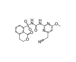 COc1cc(CC#N)nc(NC(=O)NS(=O)(=O)c2cccc3c2C(=O)OCC3)n1